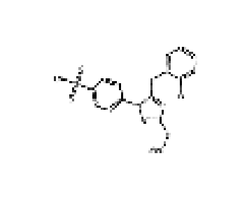 COCc1nc(Cc2ccccc2Br)n(-c2ccc(S(N)(=O)=O)cc2)n1